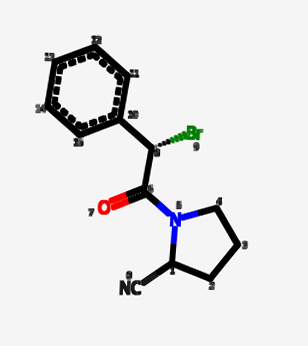 N#CC1CCCN1C(=O)[C@@H](Br)c1ccccc1